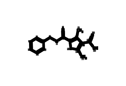 Cc1c(C(=O)OCc2ccccc2)sc(N)c1C(=O)O